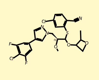 CO[C@@H](Cn1cc(-c2cc(F)c(Cl)c(F)c2)cn1)C(OC1COC1C)Sc1cc(Cl)ccc1C#N